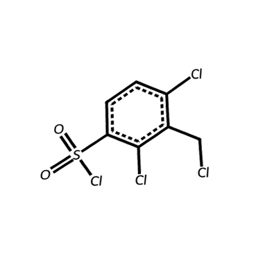 O=S(=O)(Cl)c1ccc(Cl)c(CCl)c1Cl